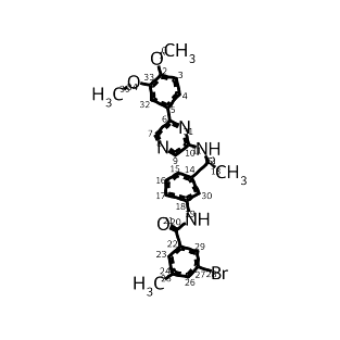 COc1ccc(-c2cncc(N[C@@H](C)c3cccc(NC(=O)c4cc(C)cc(Br)c4)c3)n2)cc1OC